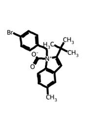 Cc1ccc2c(c1)C=C(C(C)(C)C)[N+]2(Cc1ccc(Br)cc1)C(=O)[O-]